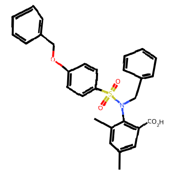 Cc1cc(C)c(N(Cc2ccccc2)S(=O)(=O)c2ccc(OCc3ccccc3)cc2)c(C(=O)O)c1